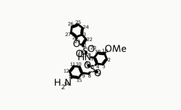 COc1ccc(S(=O)(=O)Cc2cccc(N)c2)c(NS(=O)(=O)c2cc3ccccc3o2)c1